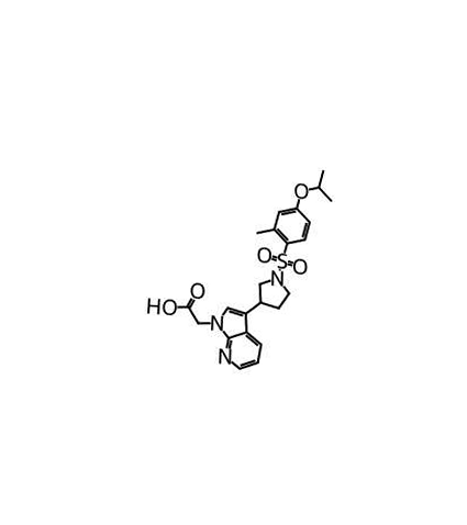 Cc1cc(OC(C)C)ccc1S(=O)(=O)N1CCC(c2cn(CC(=O)O)c3ncccc23)C1